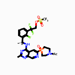 CC(=O)N1CCP(=O)(c2cc3c(N[C@H](C)c4cccc(C(F)(F)COS(=O)(=O)C(F)(F)F)c4F)nc(C)nc3cn2)CC1